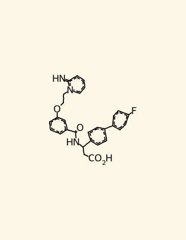 N=c1ccccn1CCOc1cccc(C(=O)NC(CC(=O)O)c2ccc(-c3ccc(F)cc3)cc2)c1